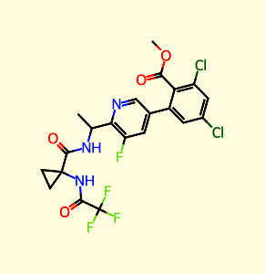 COC(=O)c1c(Cl)cc(Cl)cc1-c1cnc(C(C)NC(=O)C2(NC(=O)C(F)(F)F)CC2)c(F)c1